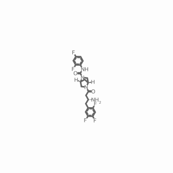 N[C@@H](CC(=O)N1C[C@H]2C[C@@H]1CN2C(=O)Nc1ccc(F)cc1F)Cc1cc(F)c(F)cc1F